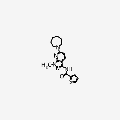 Cn1nc(NC(=O)c2cccs2)c2ccc(N3CCCCCC3)nc21